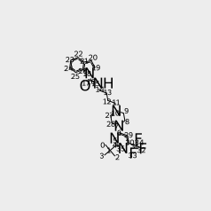 CC(C)(C)c1nc(N2CCN(CCCCNC(=O)n3ccc4ccccc43)CC2)cc(C(F)(F)F)n1